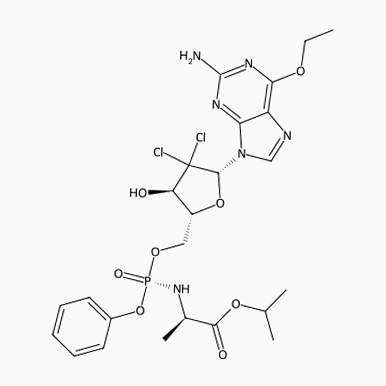 CCOc1nc(N)nc2c1ncn2[C@@H]1O[C@H](CO[P@@](=O)(N[C@H](C)C(=O)OC(C)C)Oc2ccccc2)[C@@H](O)C1(Cl)Cl